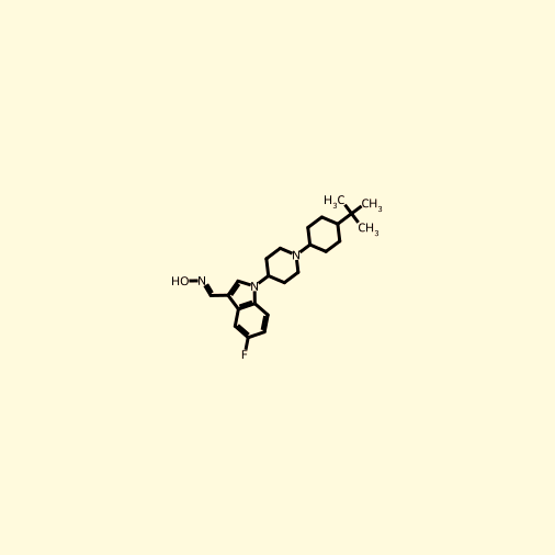 CC(C)(C)C1CCC(N2CCC(n3cc(C=NO)c4cc(F)ccc43)CC2)CC1